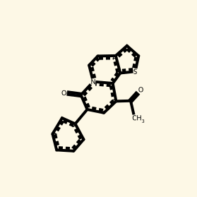 CC(=O)c1cc(-c2ccccc2)c(=O)n2ccc3ccsc3c12